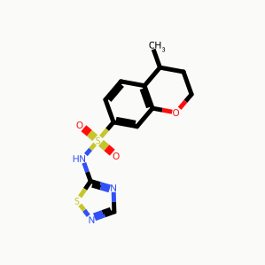 CC1CCOc2cc(S(=O)(=O)Nc3ncns3)ccc21